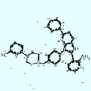 N#Cc1cccc(N2CCN(Cc3ccc(-n4c(-c5cccnc5N)nc5ccc(-c6ccccc6)nc54)cc3)CC2)n1